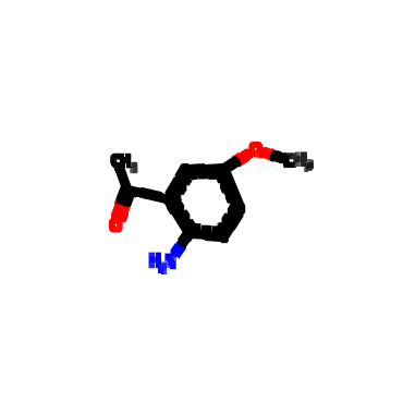 COc1ccc(N)c(C(C)=O)c1